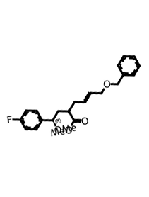 COC(=O)C(CC=CCOCc1ccccc1)C[C@@H](OC)c1ccc(F)cc1